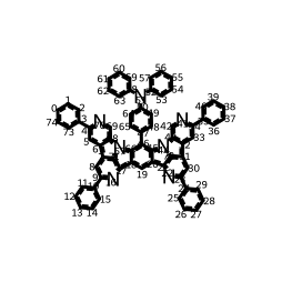 c1ccc(-c2cc3c4cc(-c5ccccc5)nc5c6cc7c8nc(-c9ccccc9)cc9c%10cc(-c%11ccccc%11)ncc%10n(c7c(-c7ccc(N(c%10ccccc%10)c%10ccccc%10)cc7)c6n(c3cn2)c45)c98)cc1